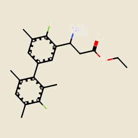 CCOC(=O)CC(N)c1cc(-c2c(C)cc(C)c(F)c2C)cc(C)c1F